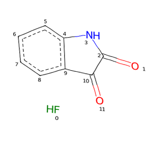 F.O=C1Nc2ccccc2C1=O